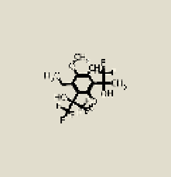 CCc1c(OC)c(C)c(C(C)(O)C(F)(F)F)c(OC)c1C(O)(C(F)(F)F)C(F)(F)F